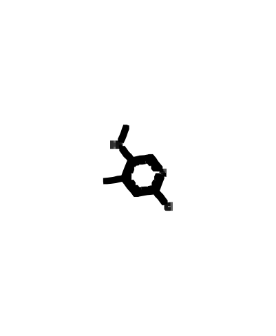 CNc1cnc(Cl)cc1C